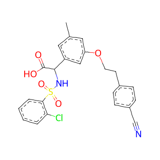 Cc1cc(OCCc2ccc(C#N)cc2)cc(C(NS(=O)(=O)c2ccccc2Cl)C(=O)O)c1